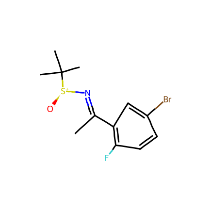 C/C(=N\[S@@+]([O-])C(C)(C)C)c1cc(Br)ccc1F